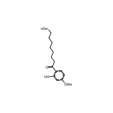 CCCCCCCCCCCCCCCCCC(=O)c1ccc(OC)cc1O